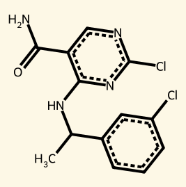 CC(Nc1nc(Cl)ncc1C(N)=O)c1cccc(Cl)c1